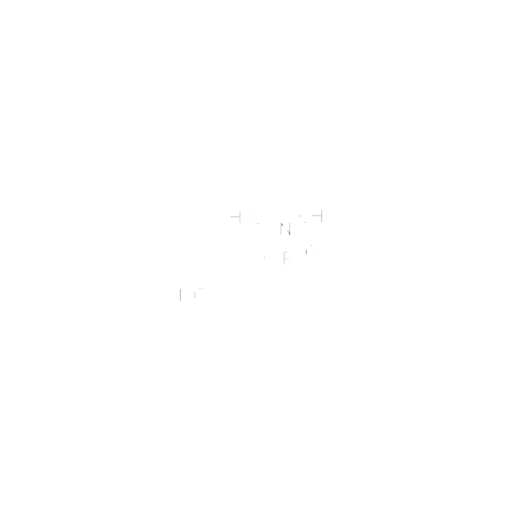 C#CC1C=CP(=O)(N(C)C)S1